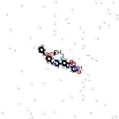 CCOc1cc(CN2CCC(c3cc4c(cc3F)C(=O)N(C3CCC(=O)NC3=O)C4)CC2)ccc1OCc1ccccc1